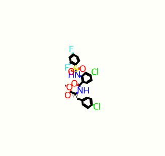 COC(=O)[C@@H](Cc1ccc(Cl)cc1)NC(=O)c1ccc(Cl)cc1NS(=O)(=O)c1ccc(F)cc1F